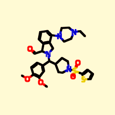 CCN1CCN(c2cccc3c2CN(C(c2ccc(OC)c(OC)c2)C2CCN(S(=O)(=O)c4cccs4)CC2)C3C=O)CC1